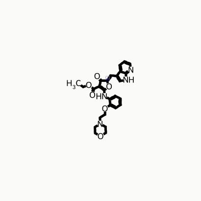 CCOC(=O)C1=C(Nc2ccccc2OCCN2CCOCC2)O/C(=C\c2c[nH]c3ncccc23)C1=O